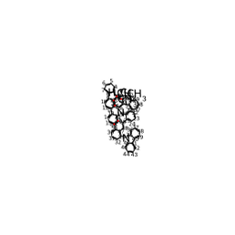 CC1(C)c2ccccc2-c2ccc(-c3ccccc3N(c3ccccc3-c3ccc4cccc(-n5c6ccccc6c6ccccc65)c4c3)c3cccc4c3-c3ccccc3C4(C)C)cc21